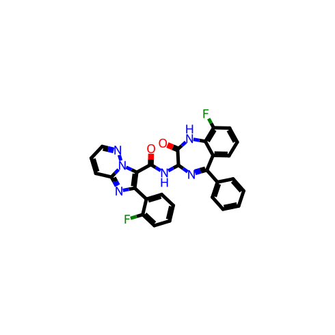 O=C(NC1N=C(c2ccccc2)c2cccc(F)c2NC1=O)c1c(-c2ccccc2F)nc2cccnn12